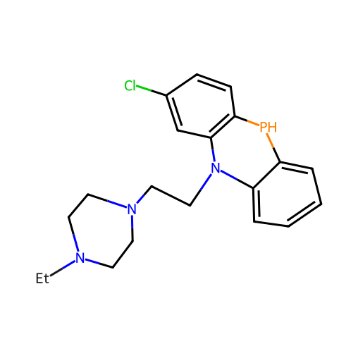 CCN1CCN(CCN2c3ccccc3Pc3ccc(Cl)cc32)CC1